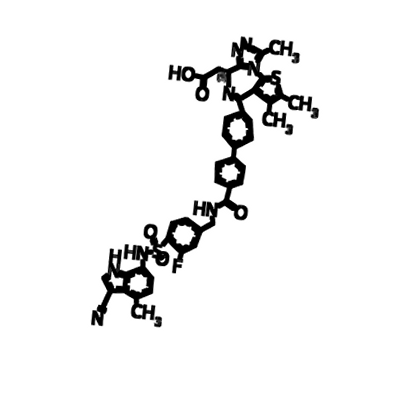 Cc1sc2c(c1C)C(c1ccc(-c3ccc(C(=O)NCc4ccc(S(=O)(=O)Nc5ccc(C)c6c(C#N)c[nH]c56)c(F)c4)cc3)cc1)=N[C@@H](CC(=O)O)c1nnc(C)n1-2